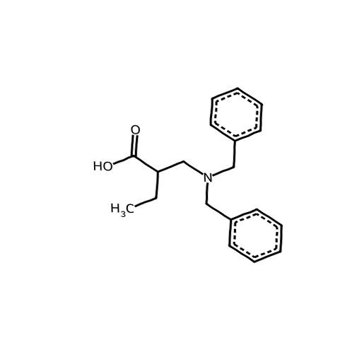 CCC(CN(Cc1ccccc1)Cc1ccccc1)C(=O)O